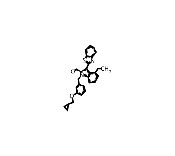 CCc1cccc2c1c(-c1nc3ccccc3s1)c(C=O)n2Cc1cccc(OCC2CC2)c1